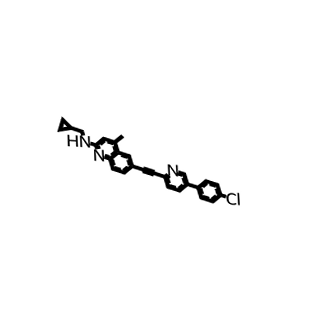 Cc1cc(NCC2CC2)nc2ccc(C#Cc3ccc(-c4ccc(Cl)cc4)cn3)cc12